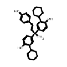 CC(CCc1ccc(O)cc1)(c1ccc(O)c(C2CCCCC2)c1)c1ccc(O)c(C2CCCCC2)c1